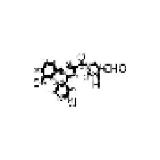 O=CC1CN(C(=O)c2cc(-c3ccnc(Cl)c3)n(-c3cccc(Cl)c3)n2)CN1